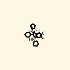 O=C(NC1CCCCC1)C(C1CCCCC1)C1(c2ccc(F)c(Cl)c2)Nc2ccccc2N1